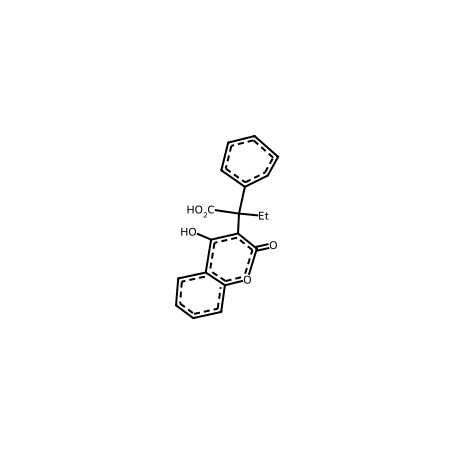 CCC(C(=O)O)(c1ccccc1)c1c(O)c2ccccc2oc1=O